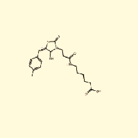 Cc1ccc(/C=C2/SC(=S)N(CCC(=O)NCCCCCC(=O)O)C2O)cc1